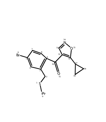 CC(C)SCc1cc(Br)ccc1C(=O)c1cnoc1C1CC1